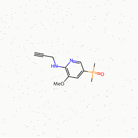 C#CCNc1ncc(P(C)(C)=O)cc1OC